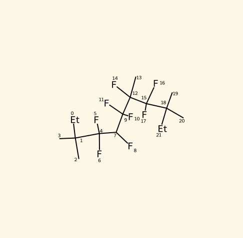 CCC(C)(C)C(F)(F)C(F)C(F)(F)C(C)(F)C(F)(F)C(C)(C)CC